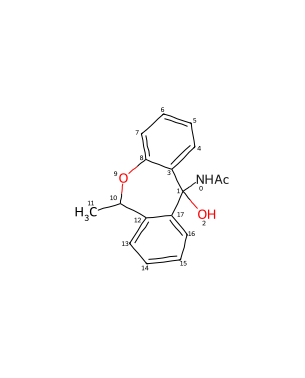 CC(=O)NC1(O)c2ccccc2OC(C)c2ccccc21